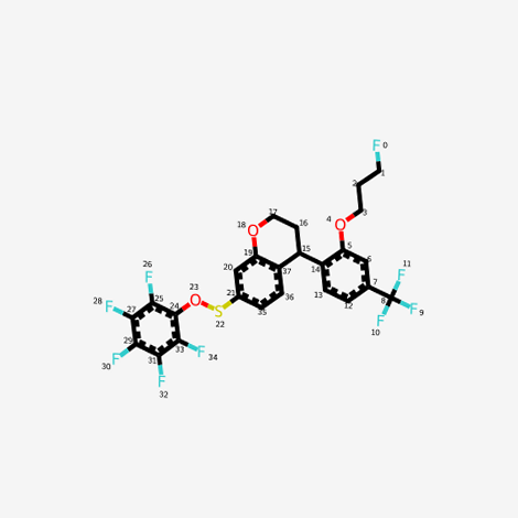 FCCCOc1cc(C(F)(F)F)ccc1C1CCOc2cc(SOc3c(F)c(F)c(F)c(F)c3F)ccc21